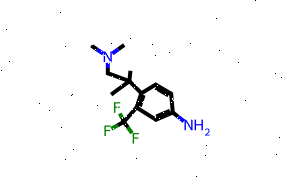 CN(C)CC(C)(C)c1ccc(N)cc1C(F)(F)F